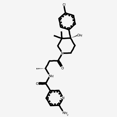 C[C@H](CC(=O)N1CC[C@](O)(c2ccc(Cl)cc2)C(C)(C)C1)NC(=O)c1ccc(N)nc1